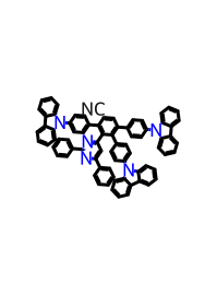 N#Cc1cc(-c2ccc(-n3c4ccccc4c4ccccc43)cc2)c(-c2ccc(-n3c4ccccc4c4ccccc43)cc2)c(-c2cc(-c3ccccc3)nc(-c3ccccc3)n2)c1-c1ccc(-n2c3ccccc3c3ccccc32)cc1